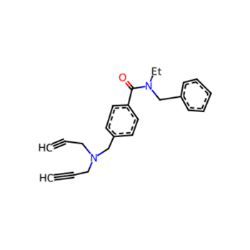 C#CCN(CC#C)Cc1ccc(C(=O)N(CC)Cc2ccccc2)cc1